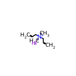 C=CC[N+](C)(C)CC=C.I